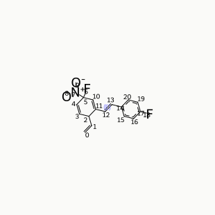 C=CC1C=CC(F)([N+](=O)[O-])C=C1/C=C/c1ccc(F)cc1